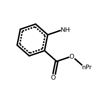 CCCOC(=O)c1ccccc1[NH]